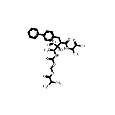 CC(C)C(=O)OCOC(=O)NC(C)C(O)([PH2]=O)C(Cc1ccc(-c2ccccc2)cc1)C(=O)NC(C)C(=O)O